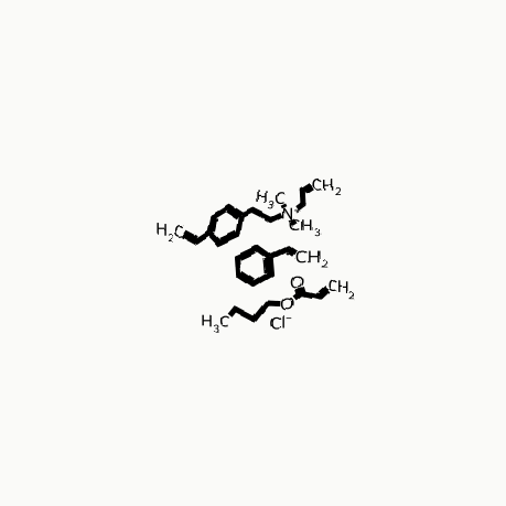 C=CC(=O)OCCCC.C=CC[N+](C)(C)CCc1ccc(C=C)cc1.C=Cc1ccccc1.[Cl-]